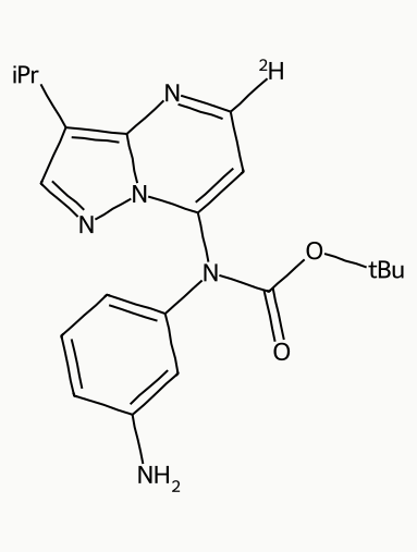 [2H]c1cc(N(C(=O)OC(C)(C)C)c2cccc(N)c2)n2ncc(C(C)C)c2n1